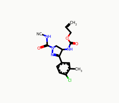 C=CCOC(=O)NC1CN(C(=O)NC#N)N=C1c1ccc(Cl)c(C)c1